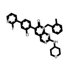 Cc1ccccc1Cn1c(=O)c(-c2ccc(-c3cccnc3F)cc2Cl)cc2cnc(NC3CCOCC3)nc21